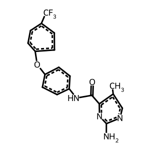 Cc1cnc(N)nc1C(=O)Nc1ccc(Oc2ccc(C(F)(F)F)cc2)cc1